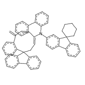 C=C1/C=C\C(N(c2ccc3c(c2)C2(CCCCC2)c2ccccc2-3)c2ccccc2-c2ccccc2)=C/CC2(c3ccccc31)c1ccccc1-c1ccccc12